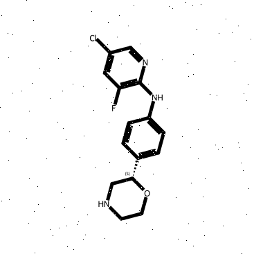 Fc1cc(Cl)cnc1Nc1ccc([C@H]2CNCCO2)cc1